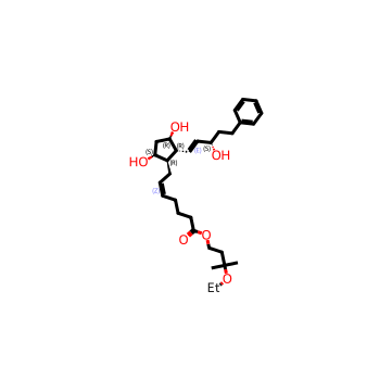 CCOC(C)(C)CCOC(=O)CCC/C=C\C[C@@H]1[C@@H](/C=C/[C@@H](O)CCc2ccccc2)[C@H](O)C[C@@H]1O